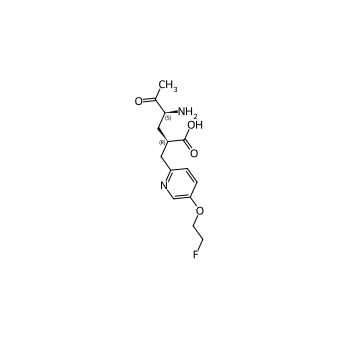 CC(=O)[C@@H](N)C[C@H](Cc1ccc(OCCF)cn1)C(=O)O